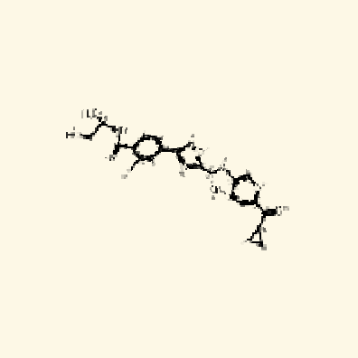 C[C@H](CO)NC(=O)c1ccc(-c2noc([C@@H](C)Oc3ccc(C(=O)C4CC4)nc3)n2)cc1F